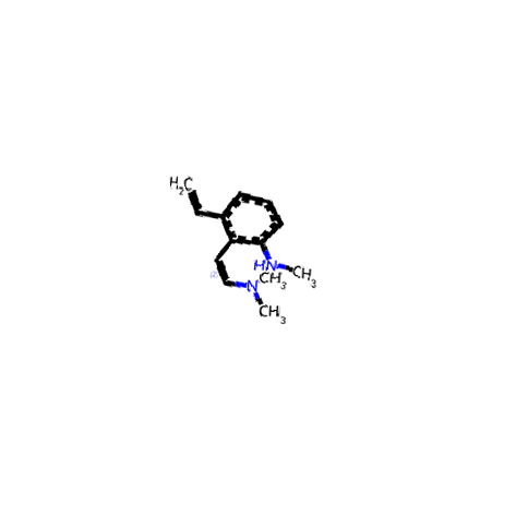 C=Cc1cccc(NC)c1/C=C\N(C)C